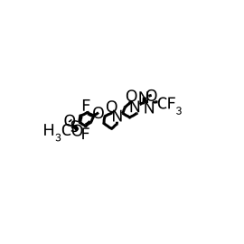 CS(=O)(=O)c1cc(F)c(OC2CCCN(C3CCN(c4noc(C(F)(F)F)n4)C(=O)C3)C2=O)cc1F